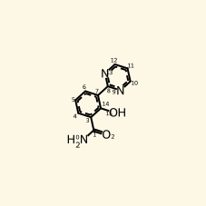 NC(=O)c1cccc(-c2ncccn2)c1O